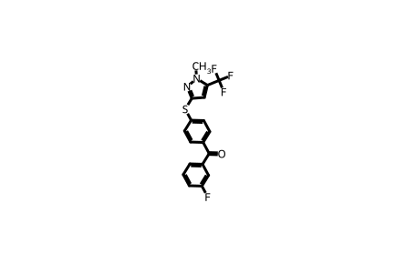 Cn1nc(Sc2ccc(C(=O)c3cccc(F)c3)cc2)cc1C(F)(F)F